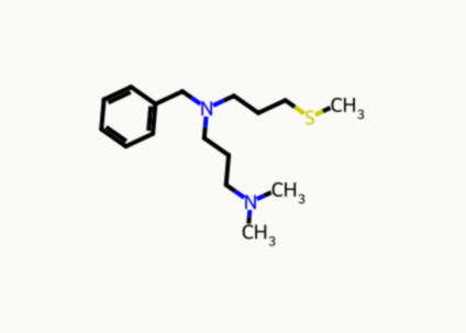 CSCCCN(CCCN(C)C)Cc1ccccc1